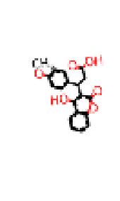 COc1ccc(C(CC(=O)O)c2c(O)c3ccccc3oc2=O)cc1